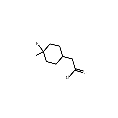 O=C(Cl)CC1CCC(F)(F)CC1